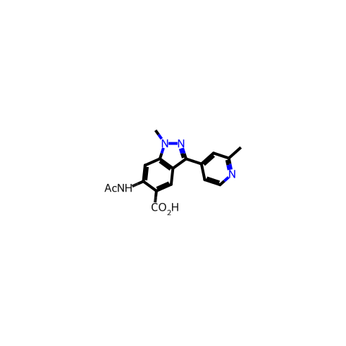 CC(=O)Nc1cc2c(cc1C(=O)O)c(-c1ccnc(C)c1)nn2C